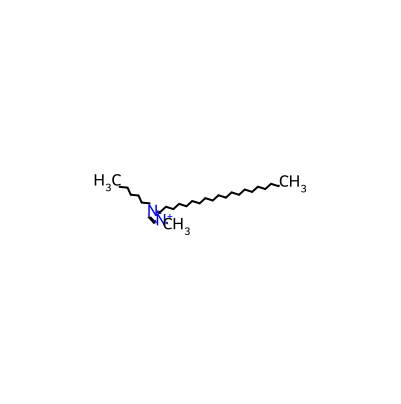 CCCCCCCCCCCCCCCCCCCc1n(CCCCCCC)cc[n+]1C